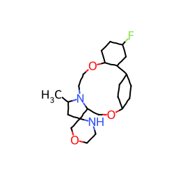 CC1CC2(COCCN2)C2COC3CCC(CC3)C3CC(F)CCC3OCCN12